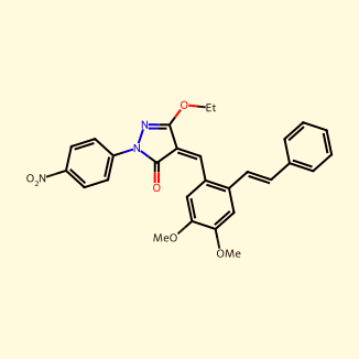 CCOC1=NN(c2ccc([N+](=O)[O-])cc2)C(=O)C1=Cc1cc(OC)c(OC)cc1C=Cc1ccccc1